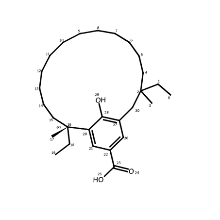 CCC1(C)CCCCCCCCCCCC[C@@](C)(CC)c2cc(C(=O)O)cc(c2O)C1